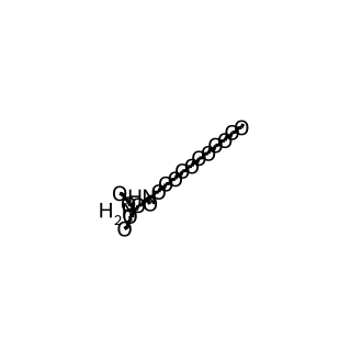 COCCOCCOCCOCCOCCOCCOCCOCCOCCOCCOCCNC(=O)CCOCC(N)(COCCC=O)COCCC=O